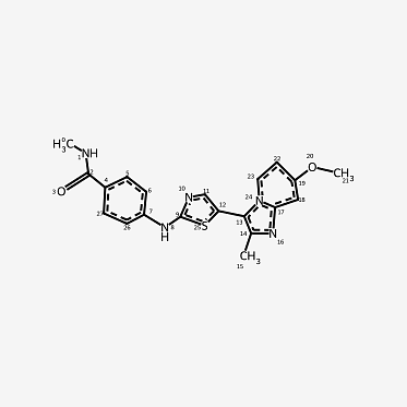 CNC(=O)c1ccc(Nc2ncc(-c3c(C)nc4cc(OC)ccn34)s2)cc1